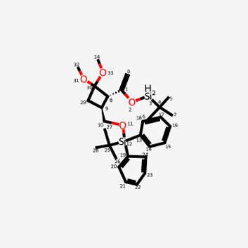 C=C(O[SiH2]C(C)(C)C)[C@@H]1[C@@H](CO[Si](c2ccccc2)(c2ccccc2)C(C)(C)C)CC1(OC)OC